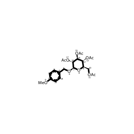 COc1ccc(CO[C@@H]2O[C@H](COC(C)=O)[C@@H](OC(C)=O)[C@H](OC(C)=O)[C@H]2OC(C)=O)cc1